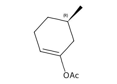 CC(=O)OC1=CCC[C@@H](C)C1